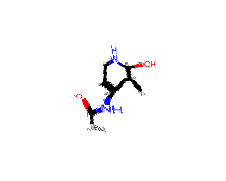 CCC(C)C(=O)NC1CCNC(O)C1C